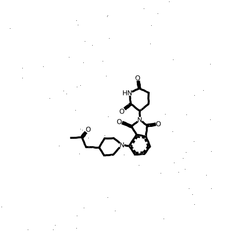 CC(=O)CC1CCN(c2cccc3c2C(=O)N(C2CCC(=O)NC2=O)C3=O)CC1